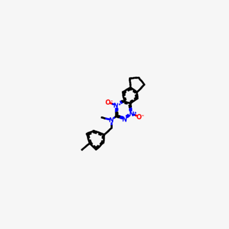 Cc1ccc(CN(C)c2n[n+]([O-])c3cc4c(cc3[n+]2[O-])CCC4)cc1